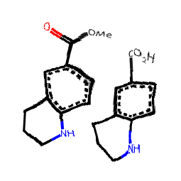 COC(=O)c1ccc2c(c1)CCCN2.O=C(O)c1ccc2c(c1)CCCN2